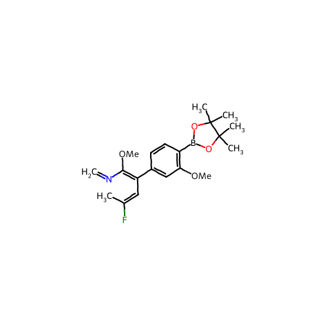 C=N/C(OC)=C(\C=C(/C)F)c1ccc(B2OC(C)(C)C(C)(C)O2)c(OC)c1